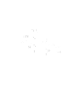 C[C@]1(F)[C@H](n2cnc3c(=O)[nH]c(N)nc32)O[C@]2(F)C(OP(=O)(O)O)[C@]12O